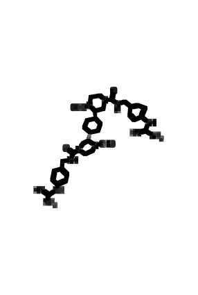 N=C(N)Nc1ccc(CNC(=O)N2CCN(C=O)C([C@H]3CC[C@H](C4CN(C(=O)NCc5ccc(NC(=N)N)cc5)CCN4C=O)CC3)C2)cc1